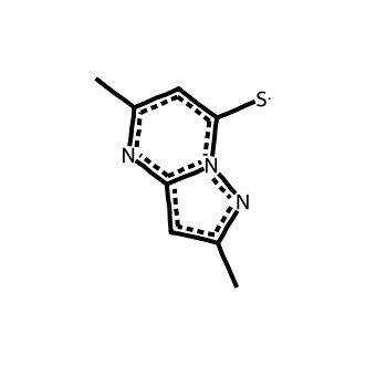 Cc1cc([S])n2nc(C)cc2n1